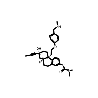 CC#C[C@@]1(O)CC[C@@]2(CCOc3ccc(CNC)cc3)c3ccc(OC(=O)N(C)C)cc3CC[C@@H]2C1